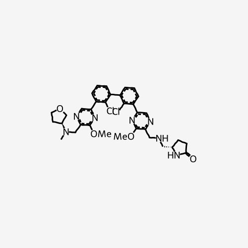 COc1nc(-c2cccc(-c3cccc(-c4cnc(CN(C)[C@H]5CCOC5)c(OC)n4)c3Cl)c2Cl)cnc1CNC[C@@H]1CCC(=O)N1